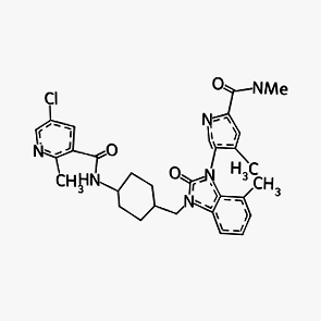 CNC(=O)c1cc(C)c(-n2c(=O)n(CC3CCC(NC(=O)c4cc(Cl)cnc4C)CC3)c3cccc(C)c32)cn1